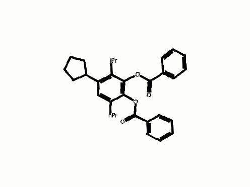 CCCc1cc(C2CCCC2)c(C(C)C)c(OC(=O)c2ccccc2)c1OC(=O)c1ccccc1